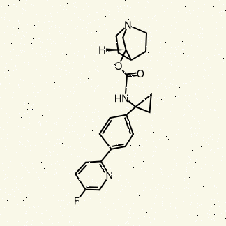 O=C(NC1(c2ccc(-c3ccc(F)cn3)cc2)CC1)O[C@@H]1CN2CCC1CC2